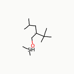 CC(C)C[C](CO[SiH](C)C)C(C)(C)C